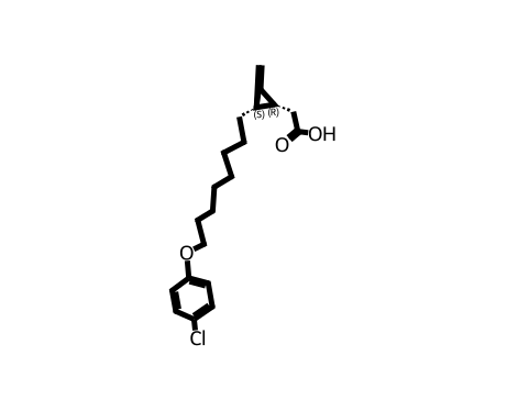 C=C1[C@@H](CCCCCCCCOc2ccc(Cl)cc2)[C@H]1CC(=O)O